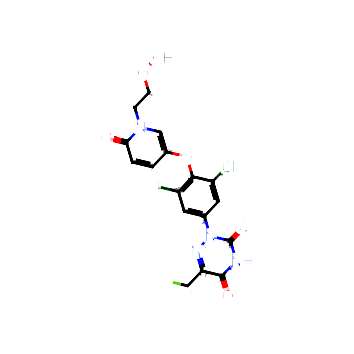 COCCn1cc(Oc2c(Cl)cc(-n3nc(CF)c(=O)[nH]c3=O)cc2Cl)ccc1=O